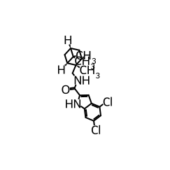 CC1(C)[C@H]2CC[C@](C)(CNC(=O)c3cc4c(Cl)cc(Cl)cc4[nH]3)[C@@H]1C2